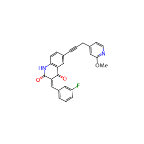 COc1cc(CC#Cc2ccc3c(c2)C(=O)/C(=C\c2cccc(F)c2)C(=O)N3)ccn1